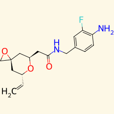 C=C[C@@H]1C[C@]2(CO2)C[C@@H](CC(=O)NCc2ccc(N)c(F)c2)O1